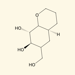 OCC1C[C@@H]2CCCOC2[C@@H](O)[C@@H]1O